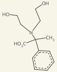 CC(C(=O)O)(c1ccccc1)N(CCO)CCO